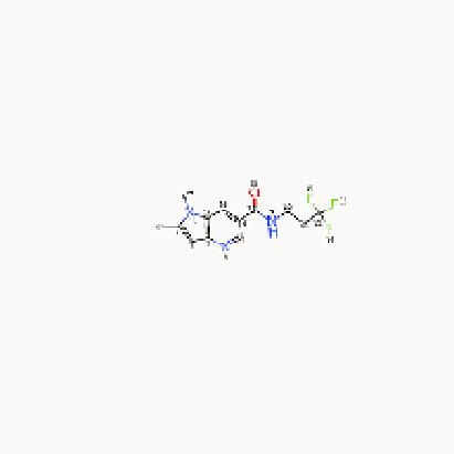 Cc1cc2ncc(C(=O)NCCC(F)(F)F)cc2n1C